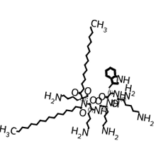 CCCCCCCCCCCCCCCC(=O)N(C(=O)[C@H](CCCCN)NC(=O)[C@H](CCCCN)NC(=O)[C@H](Cc1c[nH]c2ccccc12)NC(=O)[C@@H](N)CCCCN)[C@]([C]=O)(CCCCN)C(=O)CCCCCCCCCCCCCCC